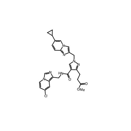 COC(=O)CCc1nn(Cc2cn3cc(C4CC4)ccc3n2)cc1C(=O)NCc1ncn2ccc(Cl)cc12